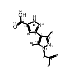 C=C(C)Cn1nc(C)c(-c2cc(C(=O)O)[nH]n2)c1C